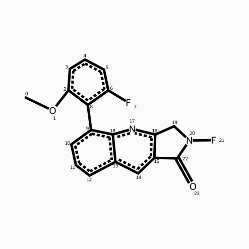 COc1cccc(F)c1-c1cccc2cc3c(nc12)CN(F)C3=O